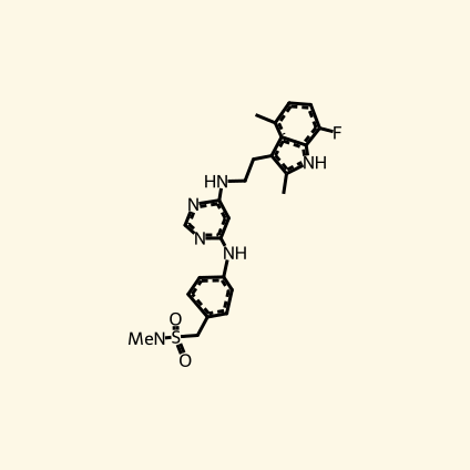 CNS(=O)(=O)Cc1ccc(Nc2cc(NCCc3c(C)[nH]c4c(F)ccc(C)c34)ncn2)cc1